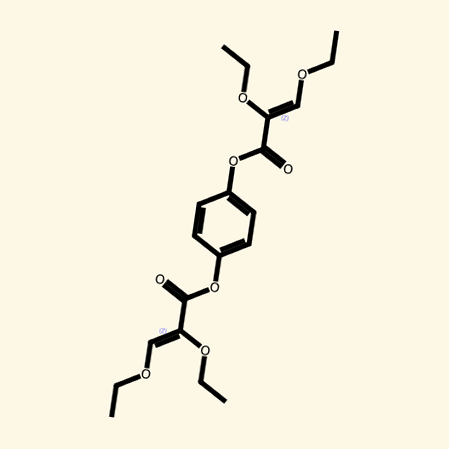 CCO/C=C(\OCC)C(=O)Oc1ccc(OC(=O)/C(=C/OCC)OCC)cc1